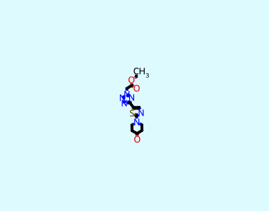 CCOC(=O)Cn1nnc(-c2cnc(N3CCC(=O)CC3)s2)n1